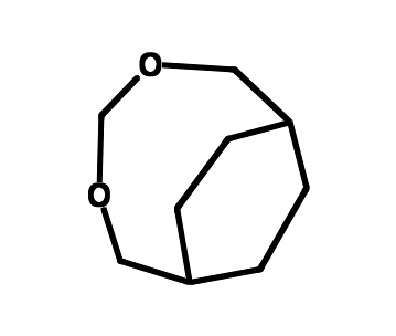 C1OCC2CCC(CC2)CO1